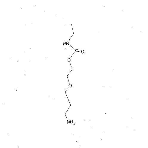 CCNC(=O)OCCOCCCN